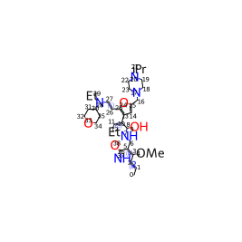 C/C=C/C(OC)=C(/CNC(O)/C(=C\CC)c1cc(CN2CCN(C(C)C)CC2)oc1/C=C/N(CC)C1CCOCC1)C(N)=O